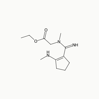 CCOC(=O)CN(C)C(=N)C1=C(NC)CCC1